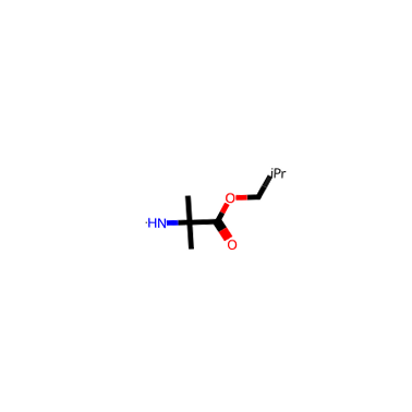 CC(C)COC(=O)C(C)(C)[NH]